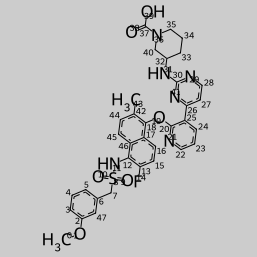 COc1cccc(CS(=O)(=O)Nc2c(F)ccc3c(Oc4ncccc4-c4ccnc(NC5CCCN(C(=O)O)C5)n4)c(C)ccc23)c1